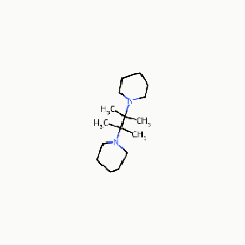 CC(C)(N1CCCCC1)C(C)(C)N1CCCCC1